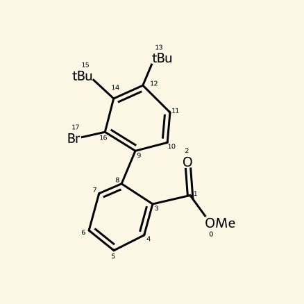 COC(=O)c1ccccc1-c1ccc(C(C)(C)C)c(C(C)(C)C)c1Br